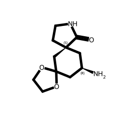 N[C@H]1CC2(C[C@]3(CCNC3=O)C1)OCCO2